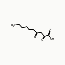 CCCCCCC(=O)CC(=O)C(=O)O